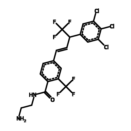 NCCNC(=O)c1ccc(/C=C/C(c2cc(Cl)c(Cl)c(Cl)c2)C(F)(F)F)cc1C(F)(F)F